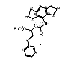 CCOC(=O)C(CCc1ccccc1)OC(=O)Nc1c2c(cc3c1CCC3)CCC2